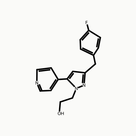 OCCn1nc(Cc2ccc(F)cc2)cc1-c1ccncc1